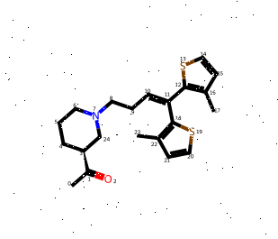 CC(=O)[C@H]1CCCN(CCC=C(c2sccc2C)c2sccc2C)C1